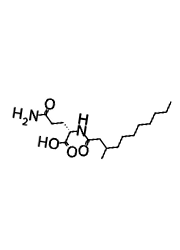 CCCCCCCCC(C)CC(=O)N[C@@H](CCC(N)=O)C(=O)O